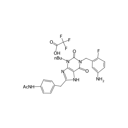 CCCCn1c(=O)n(Cc2cc(N)ccc2F)c(=O)c2[nH]c(Cc3ccc(NC(C)=O)cc3)nc21.O=C(O)C(F)(F)F